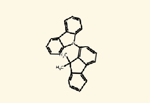 CC1(C)c2ccccc2-c2cccc(-n3c4ccccc4c4ccccc43)c21